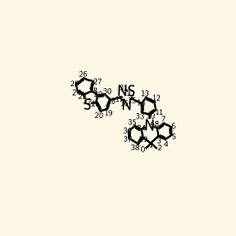 CC1(C)c2ccccc2N(c2cccc(-c3nc(-c4ccc5sc6ccccc6c5c4)ns3)c2)c2ccccc21